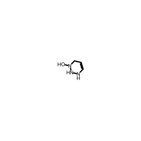 ON1CC=CNN1